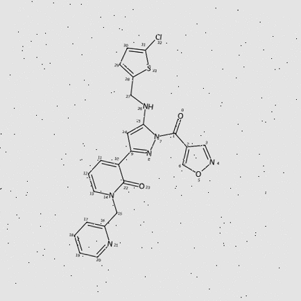 O=C(c1cnoc1)n1nc(-c2cccn(Cc3ccccn3)c2=O)cc1NCc1ccc(Cl)s1